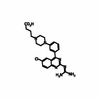 NC(N)=Nc1nc(-c2cccc(N3CCN(CCCC(=O)O)CC3)c2)c2cc(Cl)ccc2n1